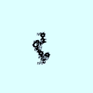 CCCOC(=O)[C@H](C)NP(=O)(Oc1ccccc1)[C@@H](F)c1ccc2sc(C(=O)NC3CCCC[C@H]4CC[C@@H](C(=O)N5C[C@H](c6cccc(C#N)c6)[C@@H](C)C56CC6)N4C3=O)cc2c1